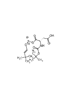 CC(C)(C)C=CO[PH](=O)OC(=O)[C@H](CC(=O)O)NC(=O)OC(C)(C)C